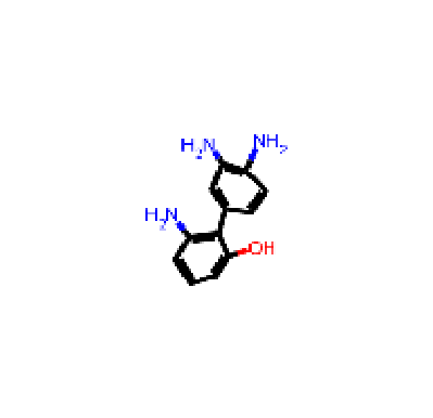 Nc1ccc(-c2c(N)cccc2O)cc1N